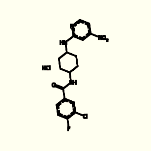 Cl.O=C(NC1CCC(Nc2cc([N+](=O)[O-])ccn2)CC1)c1ccc(F)c(Cl)c1